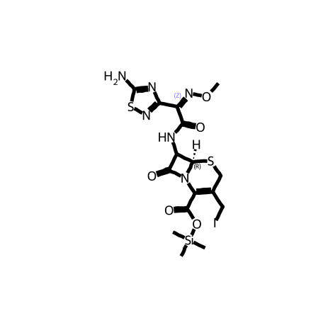 CO/N=C(\C(=O)NC1C(=O)N2C(C(=O)O[Si](C)(C)C)=C(CI)CS[C@H]12)c1nsc(N)n1